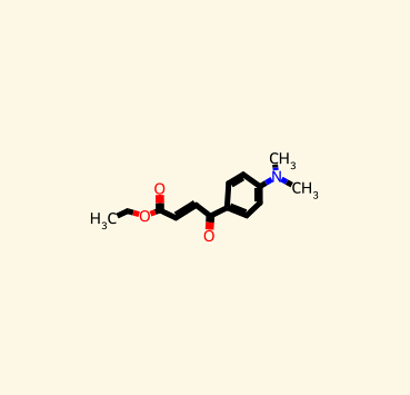 CCOC(=O)/C=C/C(=O)c1ccc(N(C)C)cc1